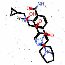 CC(C)C(O)CC(=O)c1ccc(N2C3CCC2CC(NC(=O)c2ccc(C(N)=O)c(NCC4CC4)c2)C3)nc1